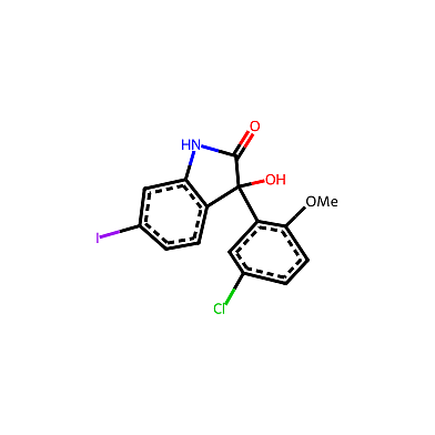 COc1ccc(Cl)cc1C1(O)C(=O)Nc2cc(I)ccc21